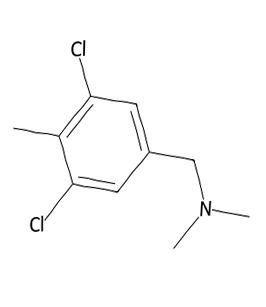 Cc1c(Cl)cc(CN(C)C)cc1Cl